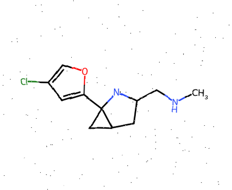 CNCC1CC2CC2(c2cc(Cl)co2)[N]1